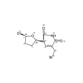 CC[C@@H]1CC[C@H](n2cc(CBr)c(=O)[nH]c2=O)O1